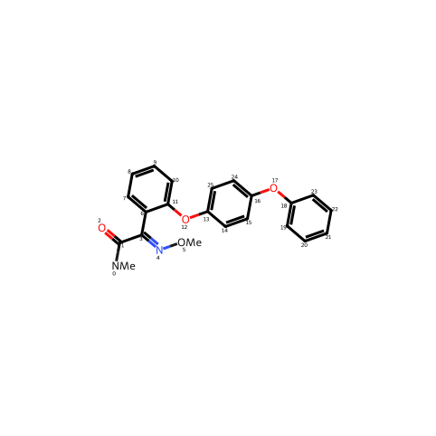 CNC(=O)/C(=N/OC)c1ccccc1Oc1ccc(Oc2ccccc2)cc1